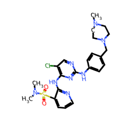 CN1CCN(Cc2ccc(Nc3ncc(Cl)c(Nc4ncccc4S(=O)(=O)N(C)C)n3)cc2)CC1